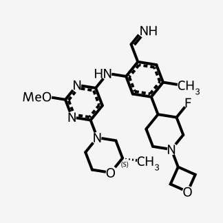 COc1nc(Nc2cc(C3CCN(C4COC4)CC3F)c(C)cc2C=N)cc(N2CCO[C@@H](C)C2)n1